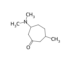 CC1CCC(N(C)C)CC(=O)C1